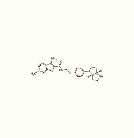 Cc1ccc2c(N)c(C(=O)NCCc3ccc(C4CC[C@@H]5NCC[C@H]45)cc3)sc2n1